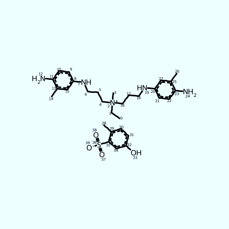 CC[N+](C)(CCCNc1ccc(N)c(C)c1)CCCNc1ccc(N)c(C)c1.Cc1ccc(O)cc1S(=O)(=O)[O-]